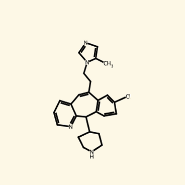 Cc1cncn1CCC1=Cc2cccnc2C(C2CCNCC2)c2ccc(Cl)cc21